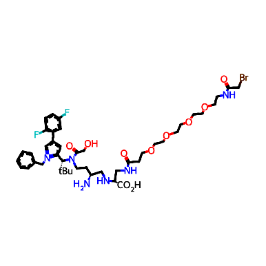 CC(C)(C)[C@H](c1cc(-c2cc(F)ccc2F)cn1Cc1ccccc1)N(CC[C@H](N)CN[C@H](CNC(=O)CCOCCOCCOCCOCCNC(=O)CBr)C(=O)O)C(=O)CO